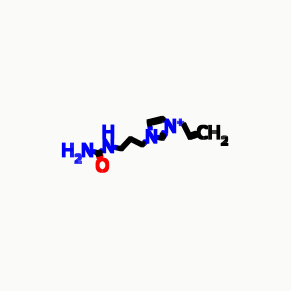 C=CC[n+]1ccn(CCCNC(N)=O)c1